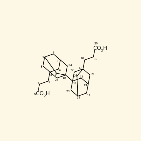 O=C(O)CCC12CC3CC(C1)CC(C14CC5CC(CC(CCC(=O)O)(C5)C1)C4)(C3)C2